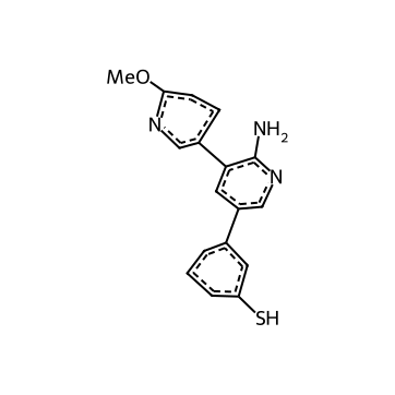 COc1ccc(-c2cc(-c3cccc(S)c3)cnc2N)cn1